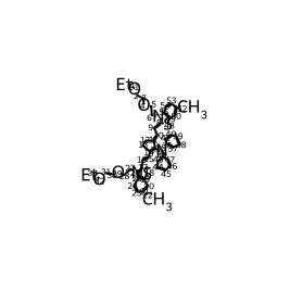 CCOCCOCCN1/C(=C/C=C2\CCC(/C=C/c3sc4cc(C)ccc4[n+]3CCOCCOCC)=C2N(c2ccccc2)c2ccccc2)Sc2cc(C)ccc21